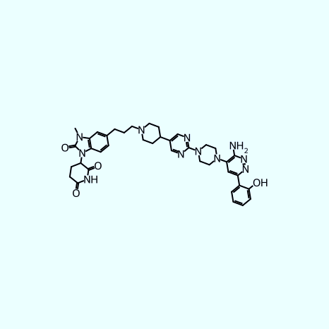 Cn1c(=O)n(C2CCC(=O)NC2=O)c2ccc(CCCN3CCC(c4cnc(N5CCN(c6cc(-c7ccccc7O)nnc6N)CC5)nc4)CC3)cc21